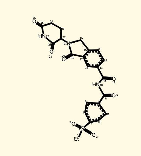 CCS(=O)(=O)c1ccc(C(=O)NC(=O)c2ccc3c(c2)C(=O)N(C2CCC(=O)NC2=O)C3)cc1